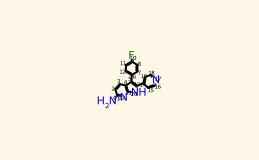 Nc1ccc2c(-c3ccc(F)cc3)c(-c3ccncc3)[nH]c2n1